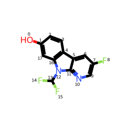 Oc1ccc2c3cc(F)cnc3n(C(F)F)c2c1